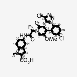 COc1cn(C(F)C(=O)Nc2ccc3c(c2)cc(C(=O)O)n3C)c(=O)cc1-c1cc(Cl)ccc1-n1cc(Cl)nn1